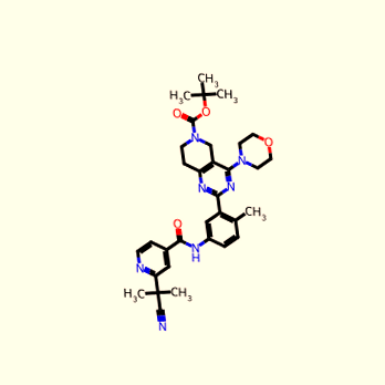 Cc1ccc(NC(=O)c2ccnc(C(C)(C)C#N)c2)cc1-c1nc2c(c(N3CCOCC3)n1)CN(C(=O)OC(C)(C)C)CC2